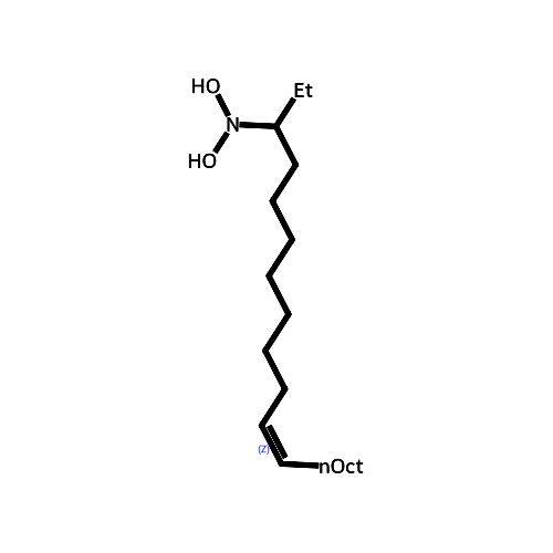 CCCCCCCC/C=C\CCCCCCCC(CC)N(O)O